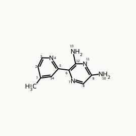 Cc1ccnc(-c2ncc(N)nc2N)c1